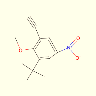 C#Cc1cc([N+](=O)[O-])cc(C(C)(C)C)c1OC